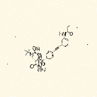 CCC(=O)Nc1cccc(C#Cc2ccc(C(=O)N[C@@H](CN(C(=O)O)C(C)(C)C)C(=O)NO)cc2)c1